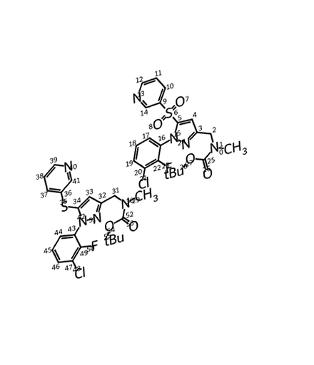 CN(Cc1cc(S(=O)(=O)c2cccnc2)n(-c2cccc(Cl)c2F)n1)C(=O)OC(C)(C)C.CN(Cc1cc(Sc2cccnc2)n(-c2cccc(Cl)c2F)n1)C(=O)OC(C)(C)C